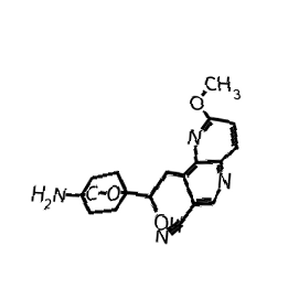 COc1ccc2ncc(C#N)c(CC(O)C34CCC(N)(CC3)CO4)c2n1